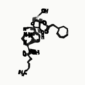 CCCCC(=O)Nc1ncnn2c([C@]3(C#N)O[C@H](CO)[C@@H](OC(=O)CC4CCCCC4)[C@H]3O)ccc12